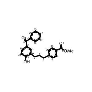 COC(=O)c1ccc(CCCc2cc(C(=O)c3ccccc3)ccc2O)cc1